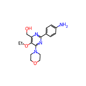 CCOc1c(CO)nc(-c2ccc(N)cc2)nc1N1CCOCC1